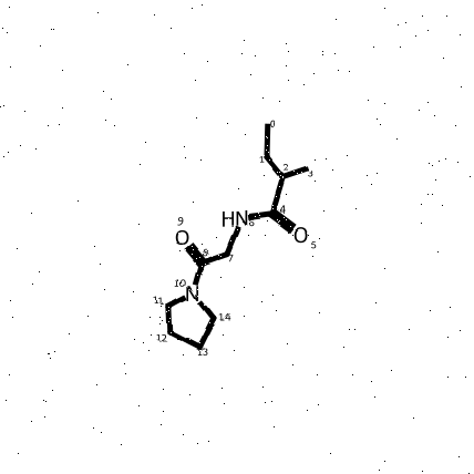 CCC(C)C(=O)NCC(=O)N1CCCC1